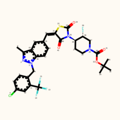 Cc1nn(Cc2ccc(Cl)cc2C(F)(F)F)c2ccc(C=C3SC(=O)N([C@@H]4CCN(C(=O)OC(C)(C)C)C[C@H]4F)C3=O)cc12